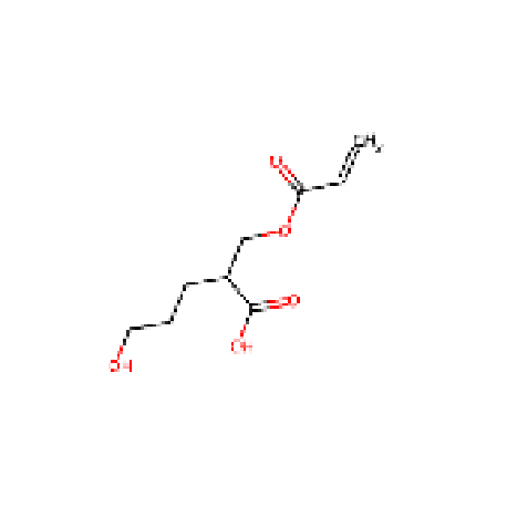 C=CC(=O)OCC(CCCO)C(=O)O